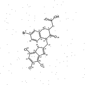 O=C(O)CC1Sc2cc(Br)ccc2N(Cc2nc3c(Cl)c(Cl)cc(Cl)c3s2)C1=O